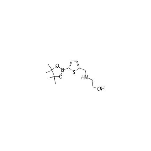 CC1(C)OB(c2ccc(CNCCO)s2)OC1(C)C